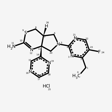 CCc1nc(N2C[C@H]3CSC(N)=N[C@@]3(c3cnccn3)C2)ncc1F.Cl